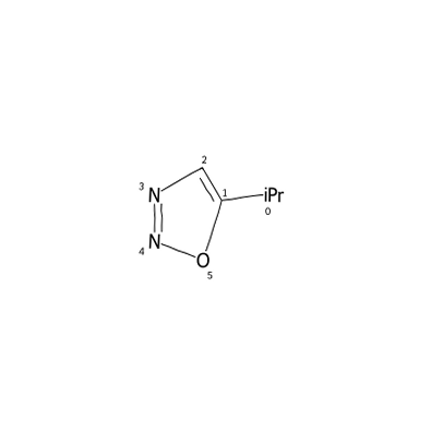 CC(C)c1cnno1